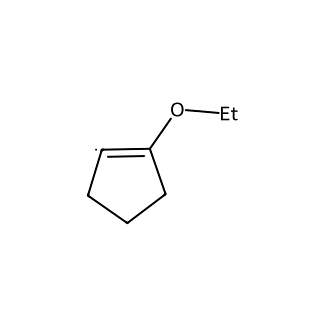 CCOC1=[C]CCC1